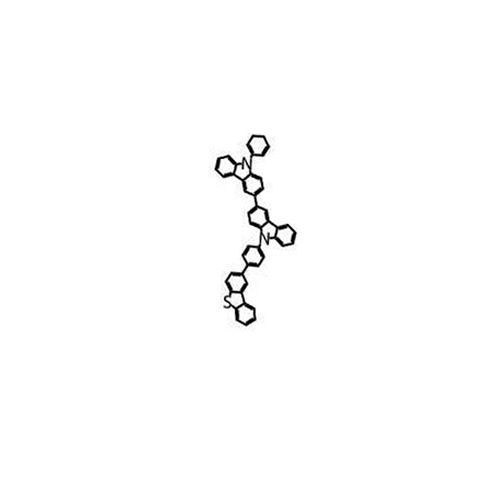 C1=CC(n2c3ccccc3c3cc(-c4ccc5c(c4)c4ccccc4n5-c4ccc(-c5ccc6sc7ccccc7c6c5)cc4)ccc32)=CCC1